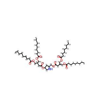 CCCCCCCCC(=O)OCC(COC(=O)CCCCCCCC)CC(=O)OC[C@@H]1C[C@H](OC(=O)CC(COC(=O)CCCCCCCC)COC(=O)CCCCCCCC)CN1